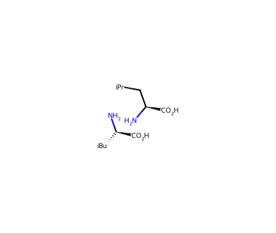 CC(C)C[C@H](N)C(=O)O.CC[C@@H](C)[C@@H](N)C(=O)O